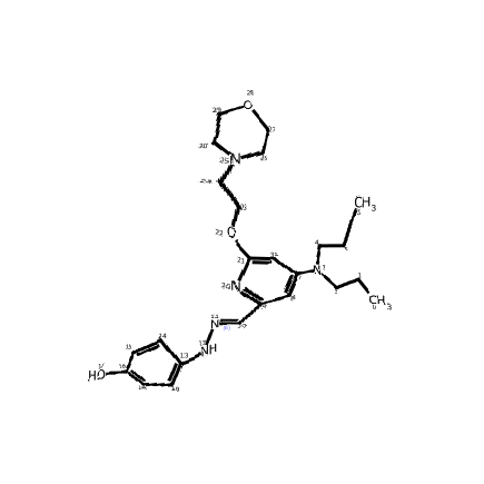 CCCN(CCC)c1cc(/C=N/Nc2ccc(O)cc2)nc(OCCN2CCOCC2)c1